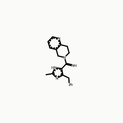 Cc1nc(CC(C)C)c(C(=N)N2CCc3ncccc3C2)[nH]1